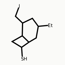 CCC1CC(CI)C2CC(S)C2C1